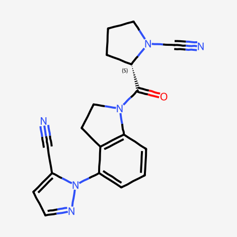 N#Cc1ccnn1-c1cccc2c1CCN2C(=O)[C@@H]1CCCN1C#N